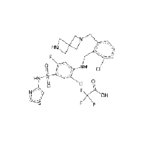 O=C(O)C(F)(F)F.O=S(=O)(Nc1cscn1)c1cc(Cl)c(NCc2c(Cl)cccc2CN2CC3(CNC3)C2)cc1F